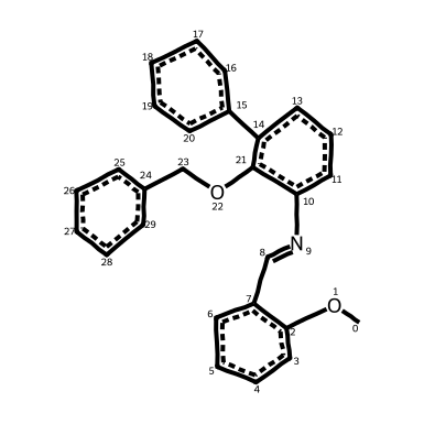 COc1ccccc1/C=N/c1cccc(-c2ccccc2)c1OCc1ccccc1